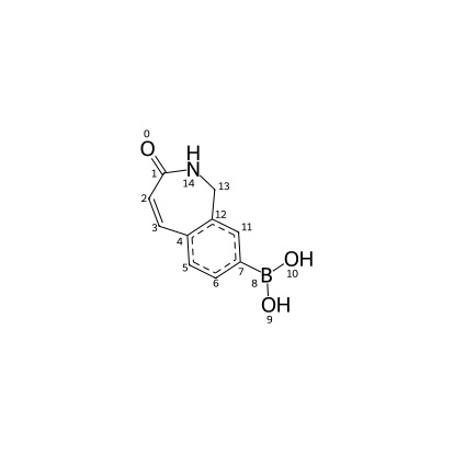 O=C1C=Cc2ccc(B(O)O)cc2CN1